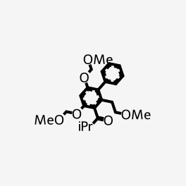 COCCc1c(C(=O)C(C)C)c(OCOC)cc(OCOC)c1-c1ccccc1